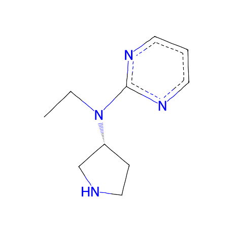 CCN(c1ncccn1)[C@@H]1CCNC1